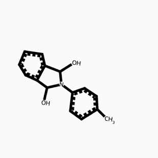 Cc1ccc(N2C(O)c3ccccc3C2O)cc1